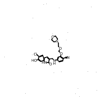 N#Cc1ccc(NCc2cc3cc(Cl)c(O)cc3[nH]c2=O)cc1OCOCCN1CCOCC1